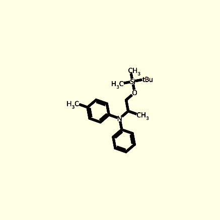 Cc1ccc(N(c2ccccc2)C(C)CO[Si](C)(C)C(C)(C)C)cc1